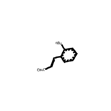 CCCCc1ccccc1C=CC=O